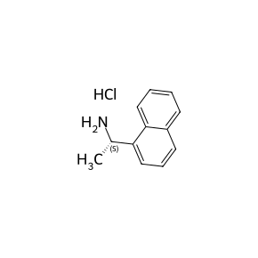 C[C@H](N)c1cccc2ccccc12.Cl